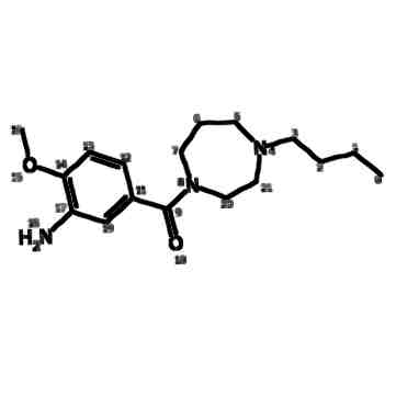 CCCCN1CCCN(C(=O)c2ccc(OC)c(N)c2)CC1